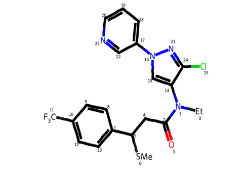 CCN(C(=O)CC(SC)c1ccc(C(F)(F)F)cc1)c1cn(-c2cccnc2)nc1Cl